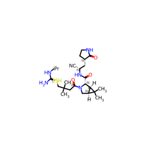 CC(C)N/C(N)=[SH]/CC(C)(C)CC(=O)N1C[C@H]2[C@@H]([C@H]1C(=O)N[C@H](C#N)C[C@@H]1CCNC1=O)C2(C)C